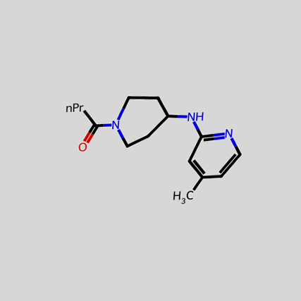 CCCC(=O)N1CCC(Nc2cc(C)ccn2)CC1